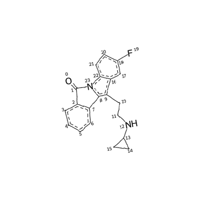 O=C1c2ccccc2-c2c(CCNC3CC3)c3cc(F)ccc3n21